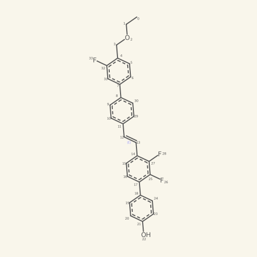 CCOCc1ccc(-c2ccc(/C=C/c3ccc(-c4ccc(O)cc4)c(F)c3F)cc2)cc1F